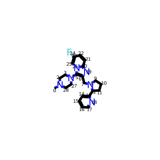 CN1CCN(c2c(CN3CCCC3c3ccccn3)nc3ccc(F)cn23)CC1